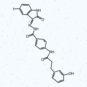 O=C(CCc1cccc(O)c1)Nc1ccc(C(=O)N/N=C2\C(=O)Nc3ccc(I)cc32)cc1